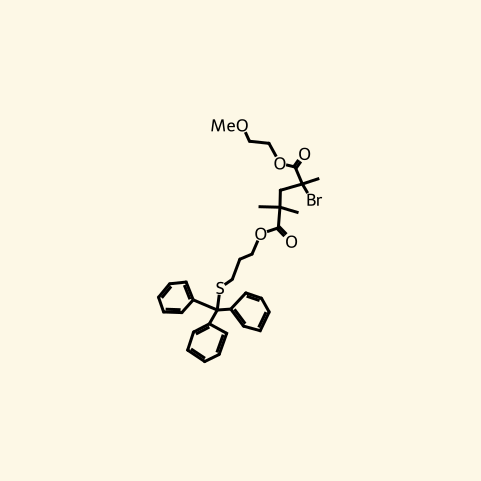 COCCOC(=O)C(C)(Br)CC(C)(C)C(=O)OCCCSC(c1ccccc1)(c1ccccc1)c1ccccc1